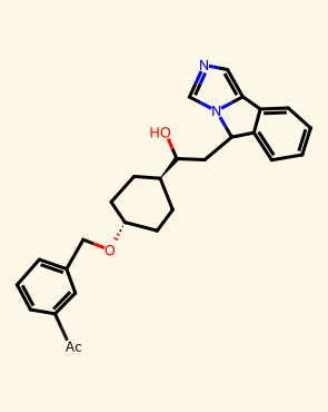 CC(=O)c1cccc(CO[C@H]2CC[C@H](C(O)CC3c4ccccc4-c4cncn43)CC2)c1